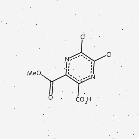 COC(=O)c1nc(Cl)c(Cl)nc1C(=O)O